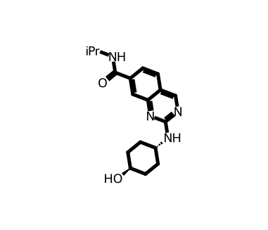 CC(C)NC(=O)c1ccc2cnc(N[C@H]3CC[C@H](O)CC3)nc2c1